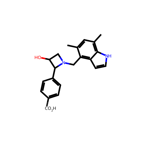 Cc1cc(C)c2[nH]ccc2c1CN1CC(O)C1c1ccc(C(=O)O)cc1